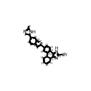 CC1=NCC(c2ccc3cc(-c4ccc5c(c4)C4C=CC=CC4c4nc(C(C)C)[nH]c4-5)sc3c2)N1